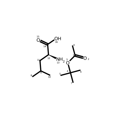 CC(=O)OC(C)(C)C.CC(C)C[C@H](N)C(=O)O